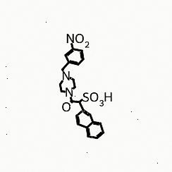 O=C(C(c1ccc2ccccc2c1)S(=O)(=O)O)N1CCN(Cc2cccc([N+](=O)[O-])c2)CC1